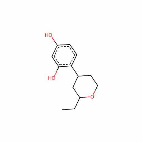 CCC1CC(c2ccc(O)cc2O)CCO1